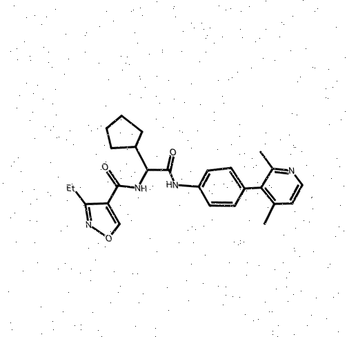 CCc1nocc1C(=O)NC(C(=O)Nc1ccc(-c2c(C)ccnc2C)cc1)C1CCCC1